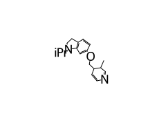 CC1C=NC=CC1COc1ccc2c(c1)N(C(C)C)CC2